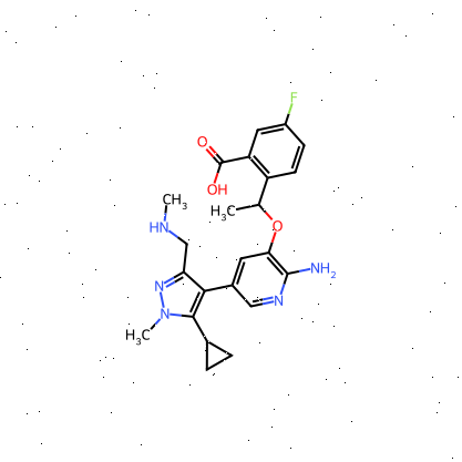 CNCc1nn(C)c(C2CC2)c1-c1cnc(N)c(OC(C)c2ccc(F)cc2C(=O)O)c1